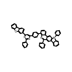 c1ccc(-c2nc(-c3ccc(-c4cccc5c4nc(-c4ccccc4)c4cc6c7ccccc7n(-c7ccccc7)c6cc45)cc3)cc(-c3ccc4c(c3)oc3ccccc34)n2)cc1